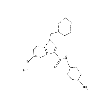 Cl.NC1CCC(NC(=O)c2cn(CC3CCCCC3)c3ccc(Br)cc23)CC1